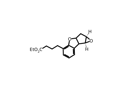 CCOC(=O)CCCc1cccc2c1OC1C[C@H]3O[C@H]3C21